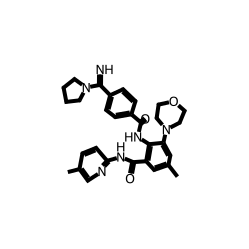 Cc1ccc(NC(=O)c2cc(C)cc(N3CCOCC3)c2NC(=O)c2ccc(C(=N)N3CCCC3)cc2)nc1